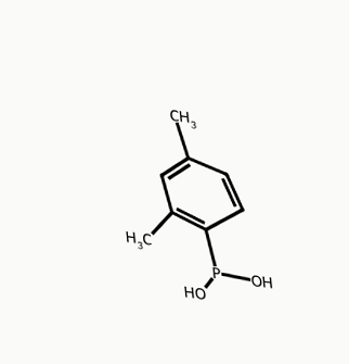 Cc1ccc(P(O)O)c(C)c1